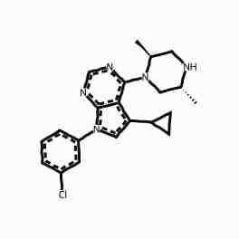 C[C@@H]1CN(c2ncnc3c2c(C2CC2)cn3-c2cccc(Cl)c2)[C@@H](C)CN1